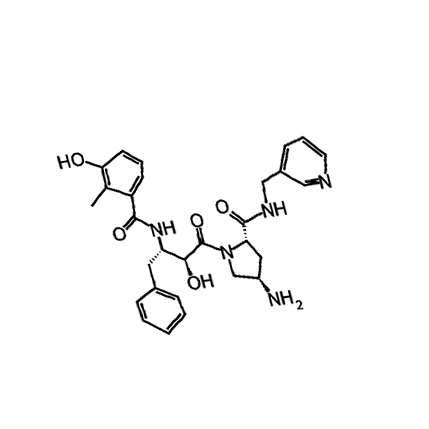 Cc1c(O)cccc1C(=O)N[C@@H](Cc1ccccc1)[C@H](O)C(=O)N1C[C@H](N)C[C@H]1C(=O)NCc1cccnc1